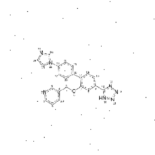 c1cncc(COc2cc(-c3nnn[nH]3)ccc2-c2ccc(-n3ccnc3)cc2)c1